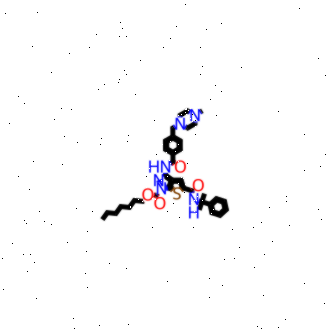 CCCCCCCOC(=O)n1nc(NC(=O)c2ccc(CN3CCN(C)CC3)cc2)c2cc(C(=O)NC(C)(C)c3ccccc3)sc21